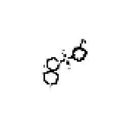 CC(C)c1cccc(S(=O)(=O)N2CCOC3(CCNCC3)C2)c1